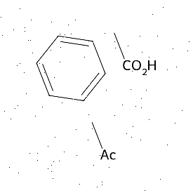 CC(=O)O.CC(C)=O.c1ccccc1